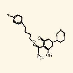 CCC(=NOCCCCc1ccc(F)cc1)C1=C(O)CC(C2CCCSC2)CC1=O